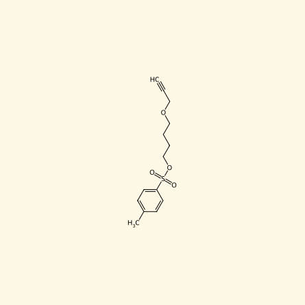 C#CCOCCCCOS(=O)(=O)c1ccc(C)cc1